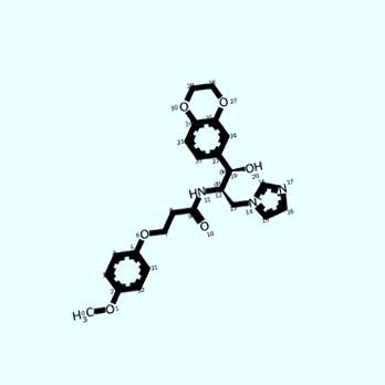 COc1ccc(OCCC(=O)N[C@H](Cn2ccnc2)[C@H](O)c2ccc3c(c2)OCCO3)cc1